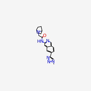 Cn1cc(-c2ccc3cnc(NC(=O)CN4C5CCC4CC5)cc3c2)nn1